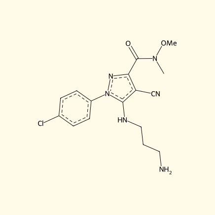 CON(C)C(=O)c1nn(-c2ccc(Cl)cc2)c(NCCCN)c1C#N